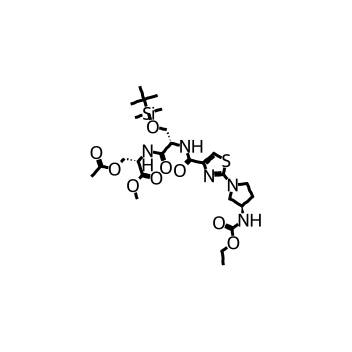 CCOC(=O)N[C@@H]1CCN(c2nc(C(=O)N[C@@H](CO[Si](C)(C)C(C)(C)C)C(=O)N[C@@H](COC(C)=O)C(=O)OC)cs2)C1